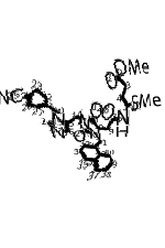 COC(=O)CCC(NC(=O)CC1C(=O)N(Cc2cncn2Cc2ccc(C#N)cc2)C(=O)N1Cc1cccc2ccccc12)SC